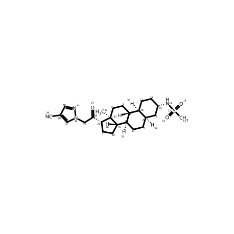 C[C@]12CC[C@H]3[C@@H](CC[C@@H]4C[C@@H](NS(C)(=O)=O)CC[C@@H]43)[C@@H]1CC[C@@H]2C(=O)Cn1cc(C#N)cn1